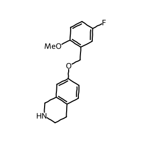 COc1ccc(F)cc1COc1ccc2c(c1)CNCC2